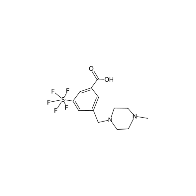 CN1CCN(Cc2cc(C(=O)O)cc(S(F)(F)(F)(F)F)c2)CC1